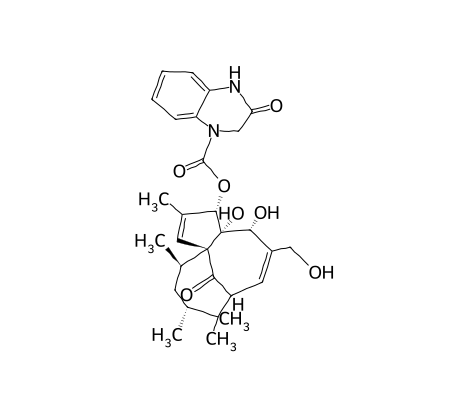 CC1=C[C@]23C(=O)[C@@H](C=C(CO)[C@@H](O)[C@]2(O)[C@H]1OC(=O)N1CC(=O)Nc2ccccc21)C(C)(C)[C@H](C)C[C@H]3C